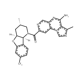 Cc1ncn2c1c(N)nc1cnc(C(=O)N3C[C@@H](C)C[C@@H]4Oc5cc(C(F)(F)F)ccc5[C@@H]43)cc12